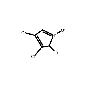 [O-][N+]1=CC(Cl)=C(Cl)C1O